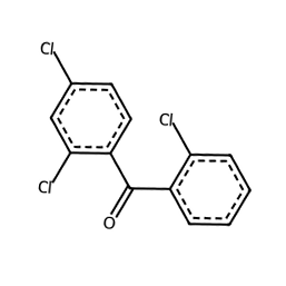 O=C(c1ccccc1Cl)c1ccc(Cl)cc1Cl